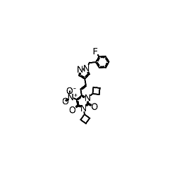 O=c1c([N+](=O)[O-])c(/C=C/c2cnn(Cc3ccccc3F)c2)n(C2CCC2)c(=O)n1C1CCC1